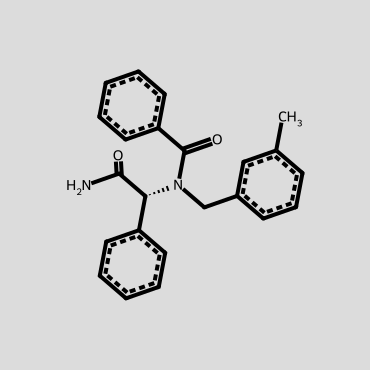 Cc1cccc(CN(C(=O)c2ccccc2)[C@@H](C(N)=O)c2ccccc2)c1